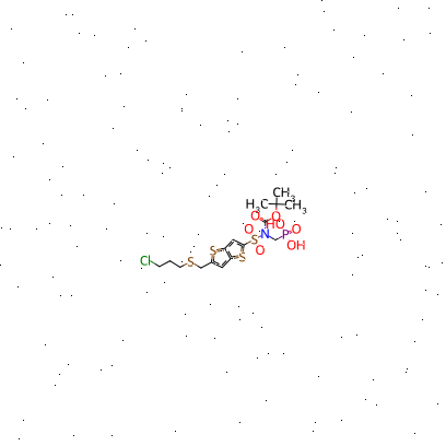 CC(C)(C)OC(=O)N(CP(=O)(O)O)S(=O)(=O)c1cc2sc(CSCCCCl)cc2s1